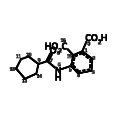 O=C(O)c1cccc(NC(=O)C2CCCCC2)c1C(=O)O